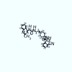 Cc1cc(NC(=O)NCCN2CCC(NS(=O)(=O)c3ccccc3C#N)CC2)c2ccccc2n1